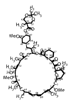 CO[C@H]1C[C@@H]2CC[C@@H](C)[C@@](O)(O2)C(=O)C(=O)N2CCCC[C@H]2C(=O)O[C@H]([C@H](C)C[C@@H]2CC[C@@H](OC(=O)C3(C)COC(C)(C)OC3)[C@H](OC)C2)CC(=O)[C@H](C)/C=C(\C)[C@@H](O)[C@@H](OC)C(=O)[C@H](C)C[C@H](C)/C=C/C=C/C=C/1C